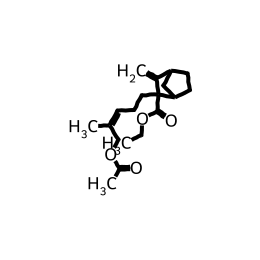 C=C1C2CCC(C2)C1(CCC=C(C)COC(C)=O)C(=O)OCC